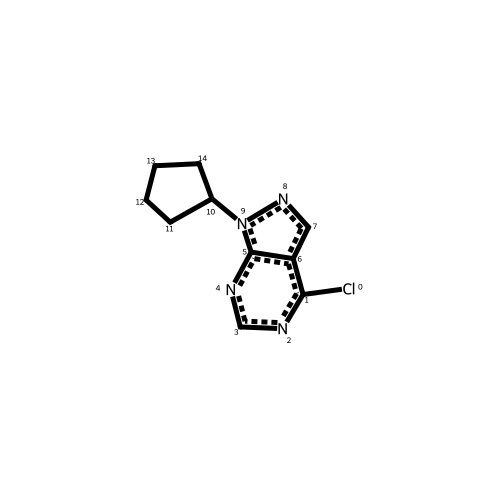 Clc1ncnc2c1cnn2C1CCCC1